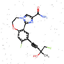 CC(O)(C#Cc1cc2c(cc1F)OCCn1cc(C(N)=O)nc1-2)CF